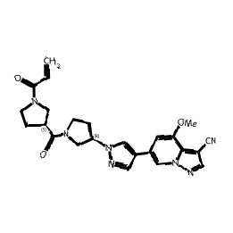 C=CC(=O)N1CC[C@H](C(=O)N2CC[C@@H](n3cc(-c4cc(OC)c5c(C#N)cnn5c4)cn3)C2)C1